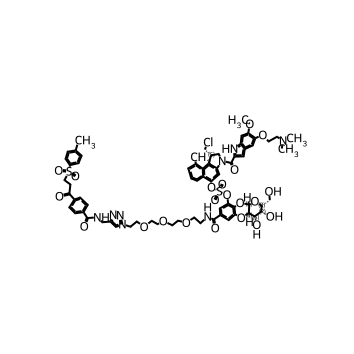 COc1cc2[nH]c(C(=O)N3C[C@@H](CCl)c4c3cc(OS(=O)(=O)Oc3cc(C(=O)NCCOCCOCCOCCn5cc(CNC(=O)c6ccc(C(=O)CCS(=O)(=O)c7ccc(C)cc7)cc6)nn5)cc5c3O[C@@H]3O[C@H](CO)[C@H](O)[C@H](O)[C@H]3O5)c3cccc(C)c43)cc2cc1OCCN(C)C